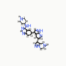 CN1CCC(Nc2ncnc3ccc(-c4c[nH]c5ncc(-c6cnn7c6CN(C)CC7)cc45)cc23)CC1